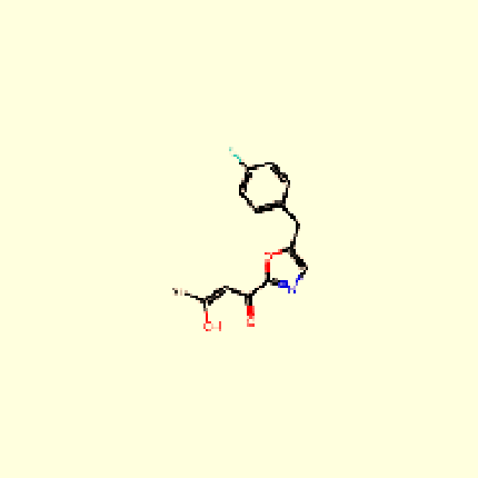 CC(=O)/C(O)=C/C(=O)c1ncc(Cc2ccc(F)cc2)o1